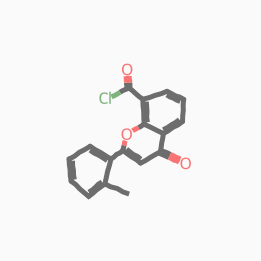 Cc1ccccc1-c1cc(=O)c2cccc(C(=O)Cl)c2o1